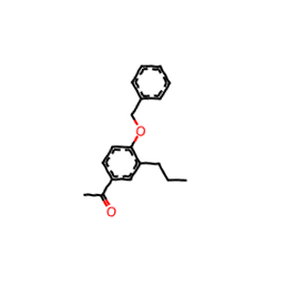 CCCc1cc(C(C)=O)ccc1OCc1ccccc1